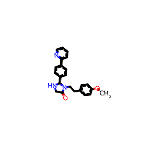 COc1ccc(CCN2C(=O)CNC2c2ccc(-c3ccccn3)cc2)cc1